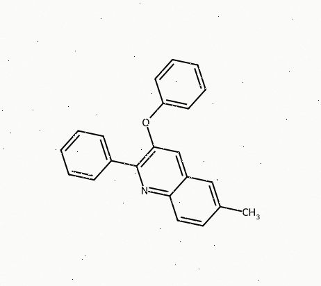 Cc1ccc2nc(-c3ccccc3)c(Oc3ccccc3)cc2c1